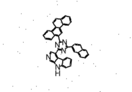 c1ccc2cc(-c3nc(-c4cc5c6ccccc6ccc5c5ccccc45)nc(-c4cncc5[nH]c6ccccc6c45)n3)ccc2c1